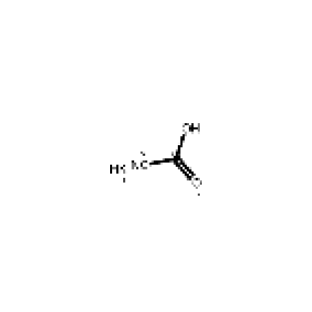 N#CC(=O)O.[KH]